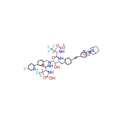 COC(=O)N[C@H](C(=O)N[C@@H](Cc1ccc(C#Cc2ccc(N3CC4CCC(C3)N4C3COC3)nc2)cc1)[C@@H](O)CN(Cc1ccc(-c2ccc(F)cn2)cc1)NC(=O)[C@@H](NC(=O)O)C(C)(C)C(F)(F)F)C(C)(C)C(F)(F)F